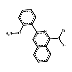 CCN(CC)c1nc(-c2ccccc2ON)nc2ccccc12